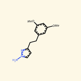 COc1cc(CCc2ccn(N)n2)cc(OC)c1